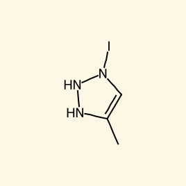 CC1=CN(I)NN1